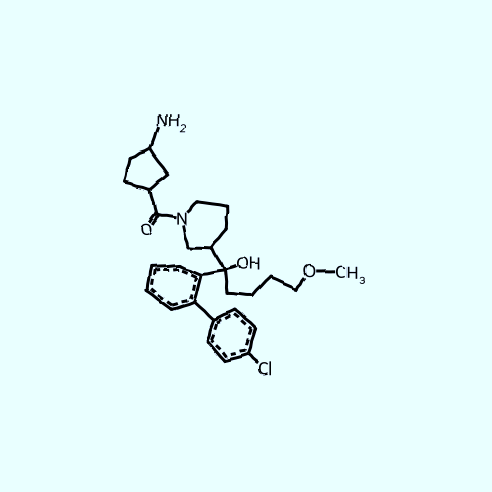 COCCCCC(O)(c1ccccc1-c1ccc(Cl)cc1)C1CCCN(C(=O)C2CCC(N)C2)C1